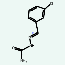 NC(=O)N/N=C/c1cccc(Cl)c1